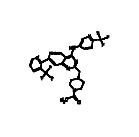 CC(=O)N1CCN(Cc2nc(Nc3ccc(C(F)(F)F)nc3)c3ccc(-c4ncccc4C(F)(F)F)cc3n2)CC1